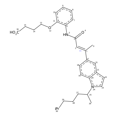 C/C(=C\C(=O)Nc1ccccc1OCCCC(=O)O)c1ccc2c(ccn2C(C)CCCC(C)C)c1